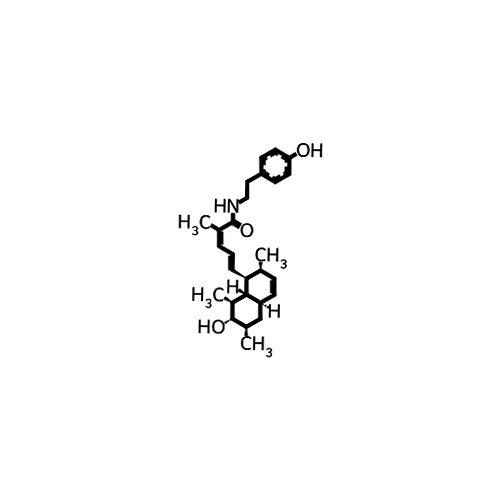 CC(=CC=C[C@@H]1[C@H]2[C@H](C)[C@@H](O)[C@H](C)C[C@@H]2C=C[C@@H]1C)C(=O)NCCc1ccc(O)cc1